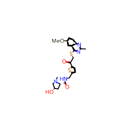 COc1ccc2nc(C)nc(SCC(=O)c3ccc(CNC(=O)[C@@H]4C[C@@H](O)CN4C)s3)c2c1